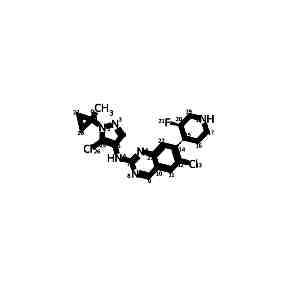 CC1(n2ncc(Nc3ncc4cc(Cl)c([C@H]5CCNC[C@@H]5F)cc4n3)c2Cl)CC1